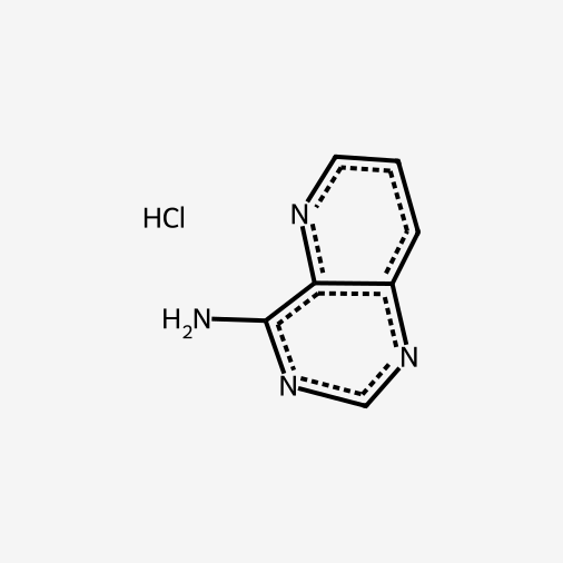 Cl.Nc1ncnc2cccnc12